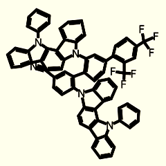 N#Cc1ccc(-n2c3ccccc3c3c2ccc2c4ccccc4n(-c4ccccc4)c23)c(-c2ccc(-c3ccc(C(F)(F)F)cc3C(F)(F)F)cc2-n2c3ccccc3c3c2ccc2c4ccccc4n(-c4ccccc4)c23)c1